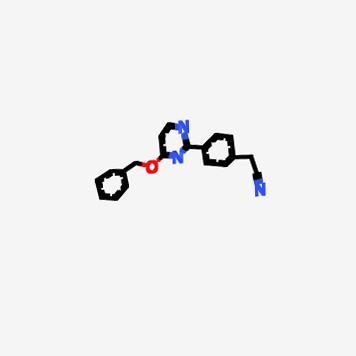 N#CCc1ccc(-c2nccc(OCc3ccccc3)n2)cc1